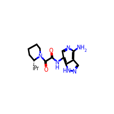 CC(C)[C@@H]1CCCCN1C(=O)C(=O)Nc1cnc(N)c2cn[nH]c12